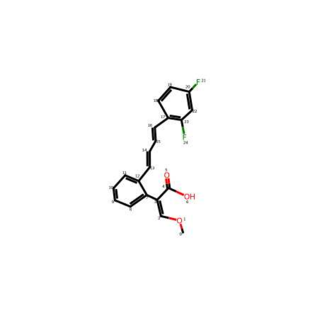 COC=C(C(=O)O)c1ccccc1C=CC=Cc1ccc(F)cc1F